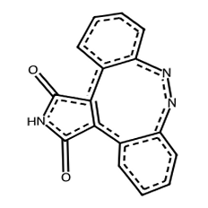 O=c1[nH]c(=O)c2c3ccccc3nnc3ccccc3c1=2